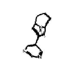 CN1C2C=C(c3cncnc3)CC1CCC2